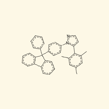 Cc1cc(C)c(-c2ccnn2-c2ccc(C3(c4ccccc4)c4ccccc4-c4ccccc43)cc2)c(C)c1